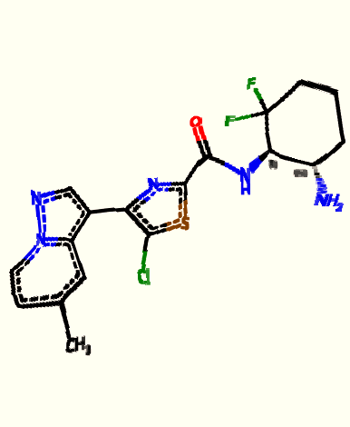 Cc1ccn2ncc(-c3nc(C(=O)N[C@@H]4[C@@H](N)CCCC4(F)F)sc3Cl)c2c1